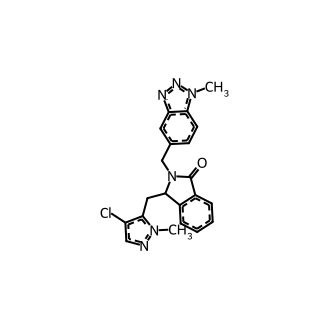 Cn1ncc(Cl)c1CC1c2ccccc2C(=O)N1Cc1ccc2c(c1)nnn2C